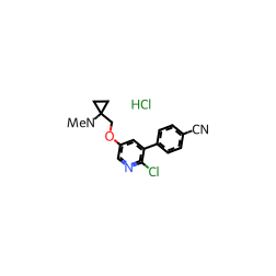 CNC1(COc2cnc(Cl)c(-c3ccc(C#N)cc3)c2)CC1.Cl